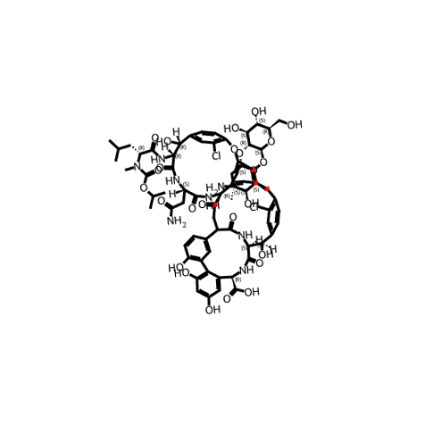 CC(C)C[C@H](C(=O)N[C@H]1C(=O)N[C@@H](CC(N)=O)C(=O)N[C@H]2C(=O)CC3C(=O)N[C@H](C(=O)N[C@@H](C(=O)O)c4cc(O)cc(O)c4-c4cc3ccc4O)[C@H](O)c3ccc(c(Cl)c3)Cc3cc2cc(c3O[C@@H]2O[C@H](CO)[C@@H](O)[C@H](O)[C@H]2O[C@H]2C[C@](C)(N)[C@H](O)[C@H](C)O2)Oc2ccc(cc2Cl)[C@H]1O)N(C)C(=O)OC(C)C